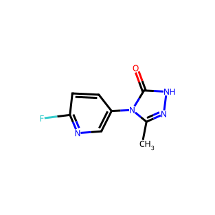 Cc1n[nH]c(=O)n1-c1ccc(F)nc1